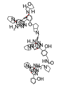 Nc1nnc(-c2ccc(CNC(=O)[C@@H]3CCCN3CC#Cc3cc(N4C5CC4CN(c4cc(-c6ccccc6O)nnc4N)C5)ccn3)cc2O)cc1N1CC2CCC(C1)N2c1ccnc(C#CCN2CC3C(Oc4ccccc4-c4cc(N5CC6CCC(C5)N6c5ccnc(C#CCN6C[C@H]7OCC[C@H]76)c5)c(N)nn4)CCC32)c1